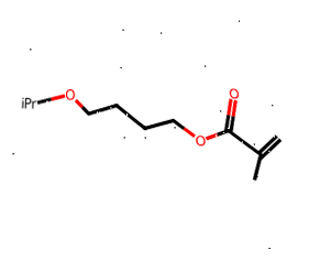 C=C(C)C(=O)OCCCCOC(C)C